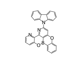 c1ccc2c(c1)Oc1cc(-n3c4ccccc4c4ccccc43)nc3c1B2Oc1cccnc1-3